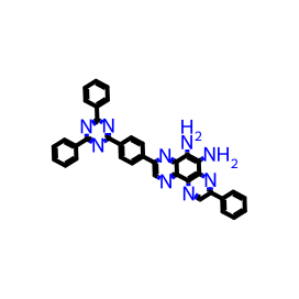 Nc1c(N)c2nc(-c3ccc(-c4nc(-c5ccccc5)nc(-c5ccccc5)n4)cc3)cnc2c2ncc(-c3ccccc3)nc12